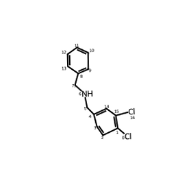 Clc1ccc(CN[CH]c2ccccc2)cc1Cl